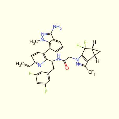 C=Cc1ccc(-c2cccc3c(N)nn(C)c23)c([C@H](Cc2cc(F)cc(F)c2)NC(=O)Cn2nc(C(F)(F)F)c3c2C(F)(F)[C@@H]2C[C@H]32)n1